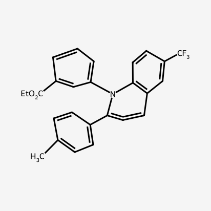 CCOC(=O)c1cccc(N2C(c3ccc(C)cc3)=C=Cc3cc(C(F)(F)F)ccc32)c1